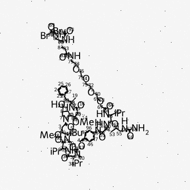 CC[C@H](C)[C@@H]([C@@H](CC(=O)N1CCC[C@H]1[C@H](OC)[C@@H](C)C(=O)N[C@H](C)[C@@H](O)c1ccccc1)OC)N(C)C(=O)C(NC(=O)C(C(C)C)N(C)C(=O)OCc1ccc(NC(=O)[C@@H](CCCNC(N)=O)NC(=O)C(NC(=O)COCCOCCOCCOCCNC(=O)CC[C@H](CNC(=O)Br)NC(=O)Br)C(C)C)cc1)C(C)C